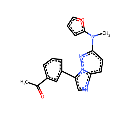 CC(=O)c1cccc(-c2cnc3ccc(N(C)c4ccco4)nn23)c1